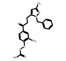 CCCC(=O)OOc1ccc(C(=O)CCc2cc(C(F)(F)F)nn2Cc2ccccc2)cc1C